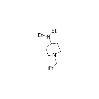 CCN(CC)C1CCN(C[C](C)C)CC1